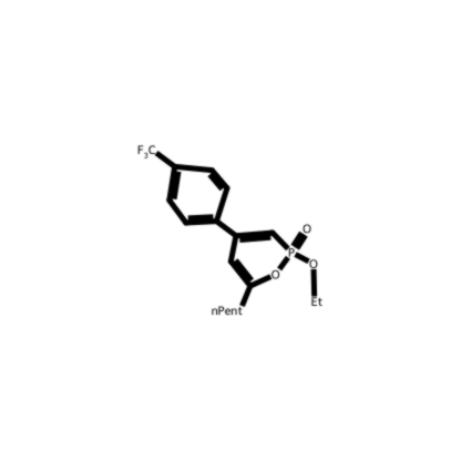 CCCCCC1=CC(c2ccc(C(F)(F)F)cc2)=CP(=O)(OCC)O1